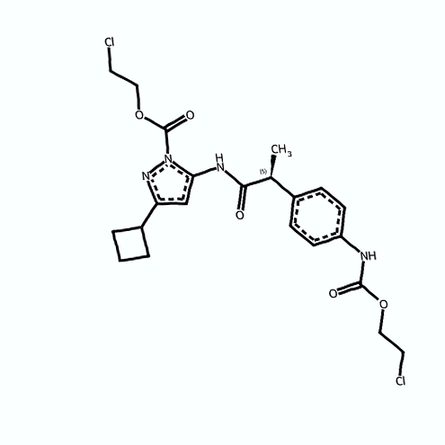 C[C@H](C(=O)Nc1cc(C2CCC2)nn1C(=O)OCCCl)c1ccc(NC(=O)OCCCl)cc1